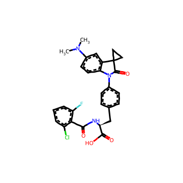 CN(C)c1ccc2c(c1)C1(CC1)C(=O)N2c1ccc(C[C@H](NC(=O)c2c(F)cccc2Cl)C(=O)O)cc1